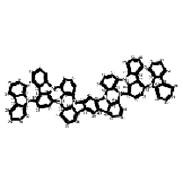 c1cc2c3c(c1)-n1c4ccccc4c4c(-n5c6ccccc6c6ccccc65)ccc(c41)B3c1cccc3c4cc5c6cccc7c6n(c5cc4n-2c13)-c1cccc2c1B7c1ccc(-n3c4ccccc4c4ccccc43)c3c4ccccc4n-2c13